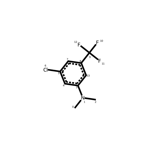 CN(C)c1cc(Cl)cc(C(F)(F)F)c1